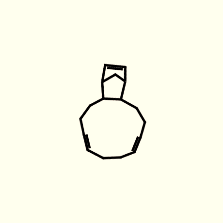 C1=CCCC2C3C=CC(C3)C2CCC=CCC1